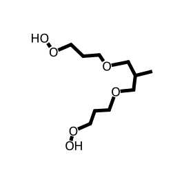 CC(COCCCOO)COCCCOO